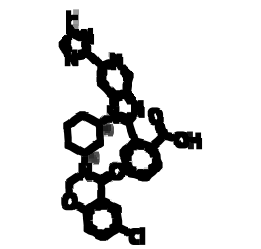 O=C(O)c1ccccc1-c1nc2cnc(-c3nc[nH]n3)cc2n1[C@@H]1CCC[C@H](N2COc3ccc(Cl)cc3C2=O)C1